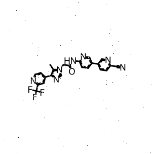 Cc1c(-c2ccnc(C(F)(F)F)c2)ncn1CC(=O)Nc1ccc(-c2ccc(C#N)nc2)cn1